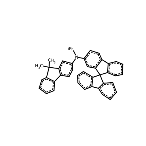 CC(C)N(c1ccc2c(c1)C(C)(C)c1ccccc1-2)c1ccc2c(c1)C1(c3ccccc3-c3ccccc31)c1ccccc1-2